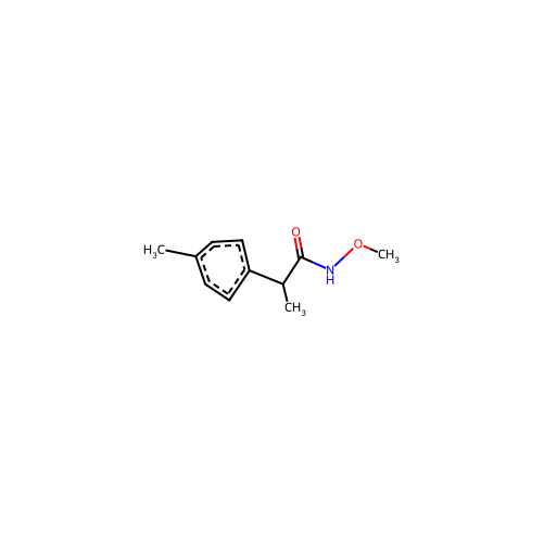 CONC(=O)C(C)c1ccc(C)cc1